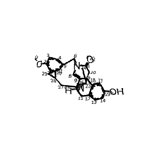 COc1ccc(CN2C=C3[C@H]4Cc5ccc(O)cc5[C@]3(CC2=O)C(C)CN4CC2CC2)cc1